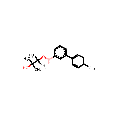 CC1C=CC(c2cccc(BOC(C)(C)C(C)(C)O)c2)=CC1